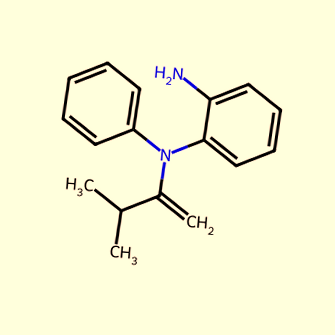 C=C(C(C)C)N(c1ccccc1)c1ccccc1N